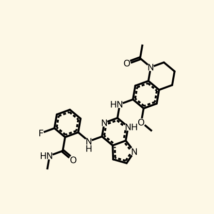 CNC(=O)c1c(F)cccc1Nc1nc(Nc2cc3c(cc2OC)CCCN3C(C)=O)[nH]c2nccc1-2